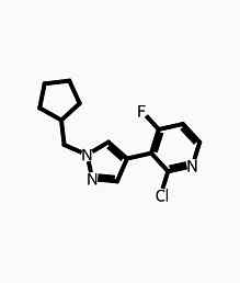 Fc1ccnc(Cl)c1-c1cnn(CC2CCCC2)c1